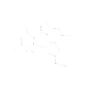 CCOc1cc(Cl)ccc1-c1ccc(CCC(=O)O)n1-c1ccc(C(N)=O)cc1CN